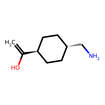 C=C(O)[C@H]1CC[C@H](CN)CC1